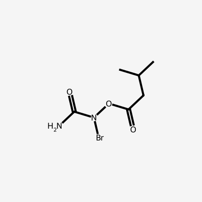 CC(C)CC(=O)ON(Br)C(N)=O